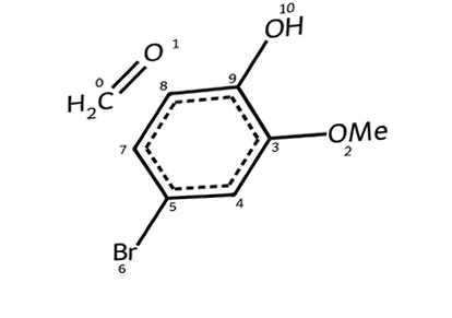 C=O.COc1cc(Br)ccc1O